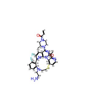 C=CC(=O)N1CCN(c2nc(=O)n3c4nc(c(F)cc24)-c2c(F)cccc2N(CCN)CCSc2ccnc(C(C)C)c2-3)[C@@H](C)C1